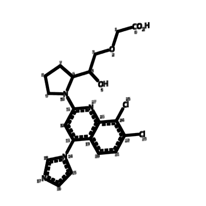 O=C(O)COCC(O)C1CCCN1c1cc(-n2ccnc2)c2ccc(Cl)c(Cl)c2n1